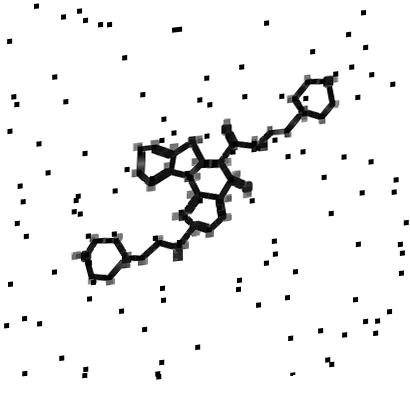 O=C(NCCN1CCOCC1)c1c(=O)c2ccc(NCCN3CCOCC3)nc2n2c1sc1ccccc12